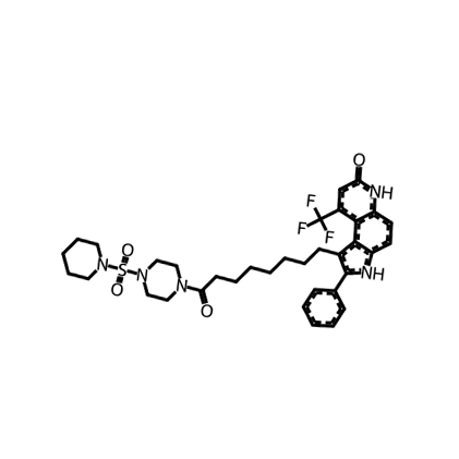 O=C(CCCCCCCc1c(-c2ccccc2)[nH]c2ccc3[nH]c(=O)cc(C(F)(F)F)c3c12)N1CCN(S(=O)(=O)N2CCCCC2)CC1